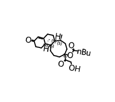 CCCCC(=O)O[C@@]1(C(=O)CO)CCC[C@H]2[C@@H](CCC3=CC(=O)CC[C@@]32C)[C@@H](C)CC1